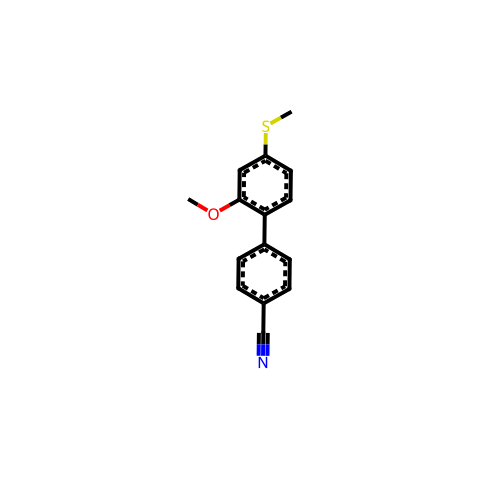 COc1cc(SC)ccc1-c1ccc(C#N)cc1